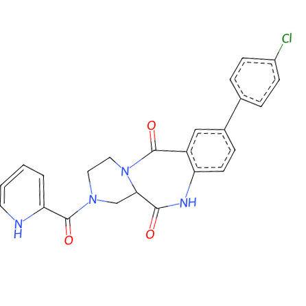 O=C1Nc2ccc(-c3ccc(Cl)cc3)cc2C(=O)N2CCN(C(=O)C3=CC=C=CN3)CC12